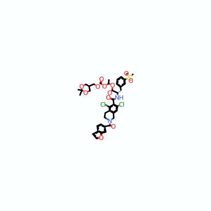 CC(OC(=O)OCC1COC(C)(C)OC1)OC(=O)[C@H](Cc1cccc(S(C)(=O)=O)c1)NC(=O)c1c(Cl)cc2c(c1Cl)CCN(C(=O)c1ccc3ccoc3c1)C2